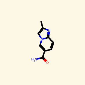 Cc1cn2cc(C(N)=O)ccc2n1